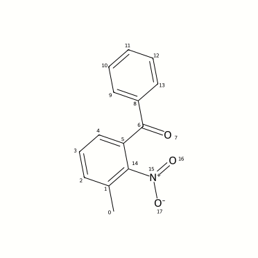 Cc1cccc(C(=O)c2ccccc2)c1[N+](=O)[O-]